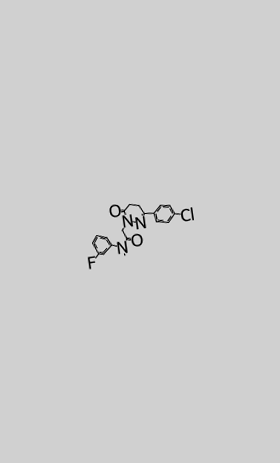 CN(C(=O)CN1N=C(c2ccc(Cl)cc2)CCC1=O)c1cccc(F)c1